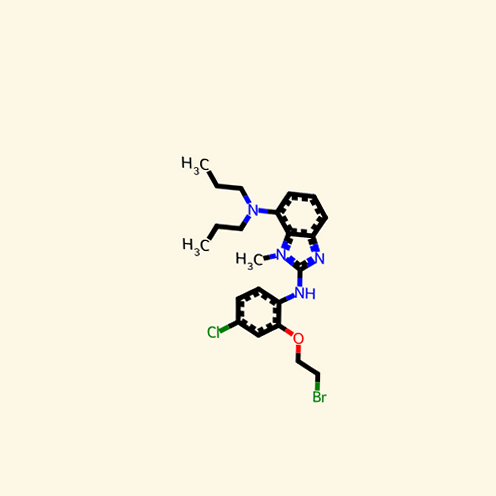 CCCN(CCC)c1cccc2nc(Nc3ccc(Cl)cc3OCCBr)n(C)c12